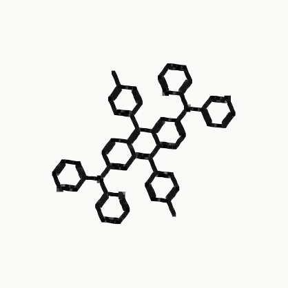 Cc1ccc(-c2c3ccc(N(c4cccnc4)c4ccccn4)cc3c(-c3ccc(C)cc3)c3ccc(N(c4cccnc4)c4ccccn4)cc23)cc1